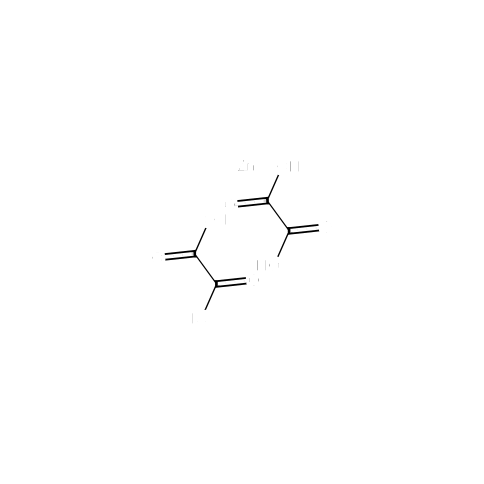 O=C(O)C(=O)O.O=C(O)C(=O)O.[Zn]